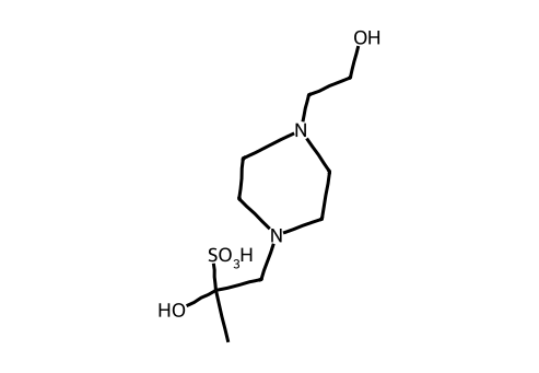 CC(O)(CN1CCN(CCO)CC1)S(=O)(=O)O